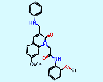 CCOc1ccccc1NC(=O)Cn1c(=O)c(CNc2ccccc2)cc2ccc(OC)cc21